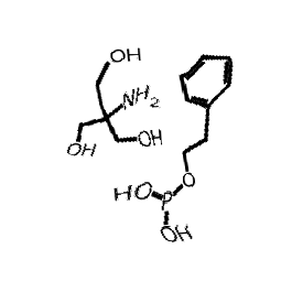 NC(CO)(CO)CO.OP(O)OCCc1ccccc1